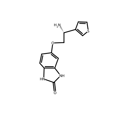 N[C@@H](COc1ccc2[nH]c(=O)[nH]c2c1)c1ccsc1